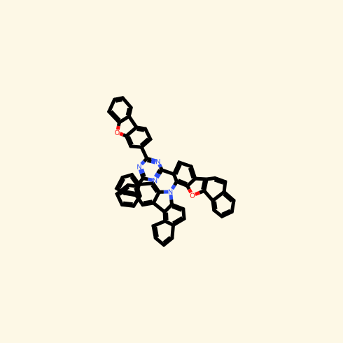 c1ccc(-c2nc(-c3ccc4c(c3)oc3ccccc34)nc(-c3ccc4c(oc5c6ccccc6ccc45)c3-n3c4cc5ccccc5cc4c4c5ccccc5ccc43)n2)cc1